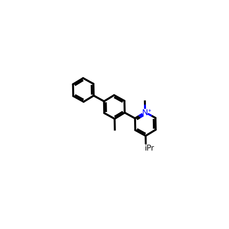 Cc1cc(-c2ccccc2)ccc1-c1cc(C(C)C)cc[n+]1C